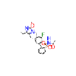 [CH2]c1c(CC)nc(OC)n1Cc1ccc(-c2ccccc2S(=O)(=O)NC(C)=O)cc1F